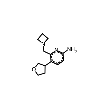 Nc1ccc(C2CCOC2)c(CN2CCC2)n1